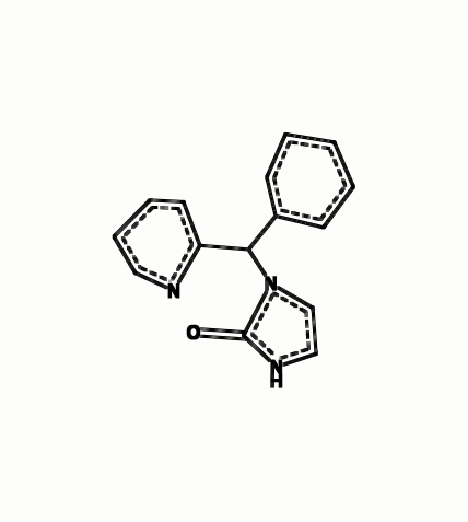 O=c1[nH]ccn1C(c1ccccc1)c1ccccn1